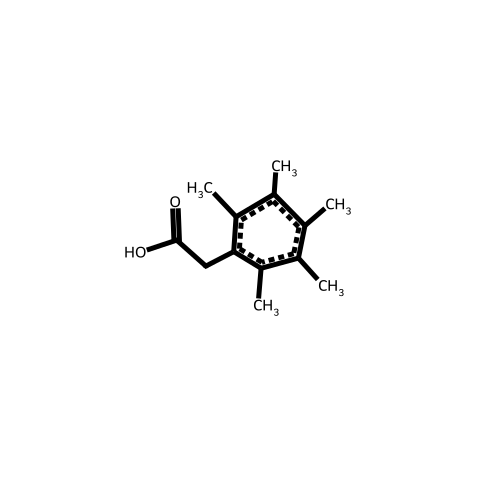 Cc1c(C)c(C)c(CC(=O)O)c(C)c1C